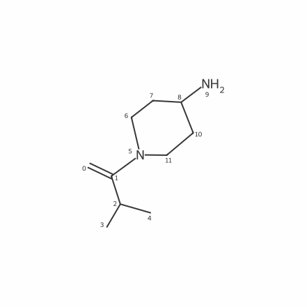 C=C(C(C)C)N1CCC(N)CC1